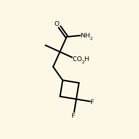 CC(CC1CC(F)(F)C1)(C(N)=O)C(=O)O